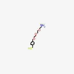 NCCOCCOCCOCc1ccc(CS)cc1